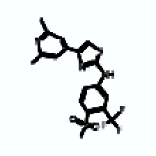 Cc1cc(-c2csc(Nc3ccc(S(C)(=O)=O)c(C(F)(F)F)c3)n2)cc(C)n1